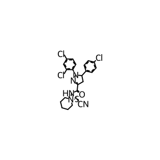 N#CS[N+]1(NC(=O)C2=NN(c3ccc(Cl)cc3Cl)C(c3ccc(Cl)cc3)C2)CCCCC1